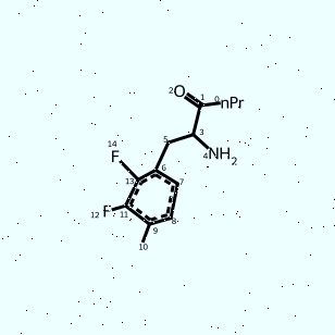 CCCC(=O)C(N)Cc1ccc(C)c(F)c1F